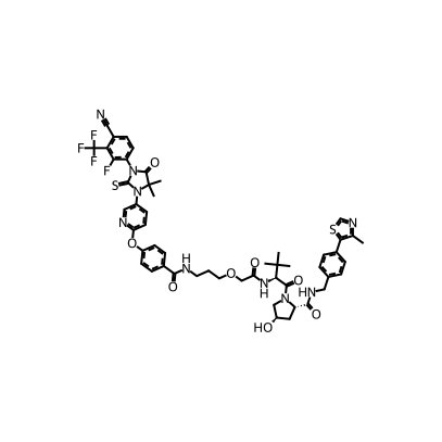 Cc1ncsc1-c1ccc(CNC(=O)[C@@H]2C[C@@H](O)CN2C(=O)[C@@H](NC(=O)COCCCNC(=O)c2ccc(Oc3ccc(N4C(=S)N(c5ccc(C#N)c(C(F)(F)F)c5F)C(=O)C4(C)C)cn3)cc2)C(C)(C)C)cc1